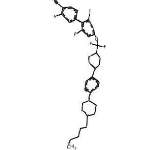 CCCCCC1CCC(c2ccc(C3CCC(C(F)(F)Oc4cc(F)c(-c5ccc(C#N)c(F)c5)c(F)c4)CC3)cc2)CC1